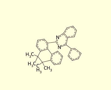 CC1(C)c2ccccc2-c2c(-c3nc(-c4ccccc4)c4ccccc4n3)cccc2C1(C)C